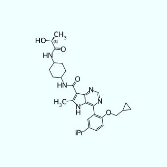 Cc1[nH]c2c(-c3cc(C(C)C)ccc3OCC3CC3)ncnc2c1C(=O)NC1CCC(NC(=O)[C@H](C)O)CC1